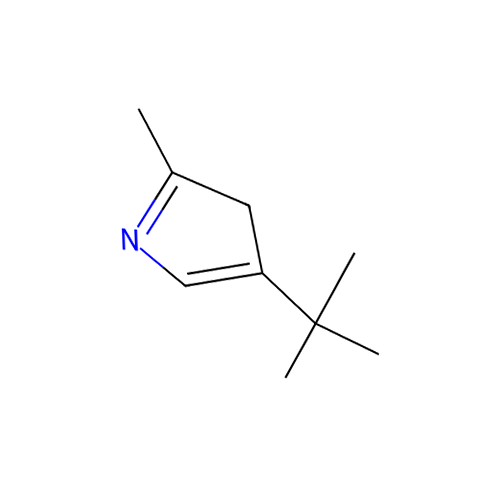 CC1=NC=C(C(C)(C)C)C1